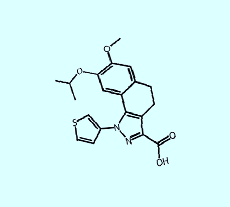 COc1cc2c(cc1OC(C)C)-c1c(c(C(=O)O)nn1-c1ccsc1)CC2